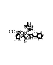 CCOC(=O)[C@@H](CCc1ccccc1)N[C@@H](C)C(=O)N1CCC[C@H]1C(=O)O.CCS(N)(=O)=O